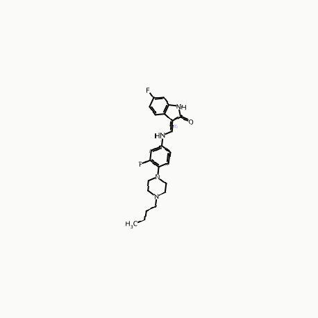 CCCCN1CCN(c2ccc(N/C=C3/C(=O)Nc4cc(F)ccc43)cc2F)CC1